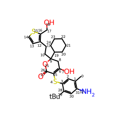 Cc1cc(SC2=C(O)CC(CCc3ccsc3CO)(C3CCCCC3)OC2=O)c(C(C)(C)C)cc1N